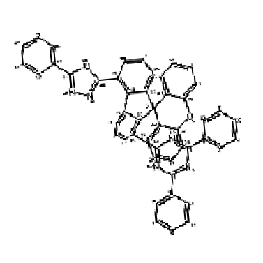 c1ccc(-c2nc(-c3ccccc3)nc(-c3cccc4c3C3(c5ccccc5Oc5ccccc53)c3cccc(-c5nnc(-c6ccccc6)o5)c3-4)n2)cc1